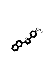 CC1C=CC(c2ccc(C3=CC=C4C=CC=CC4C3)s2)=CC1